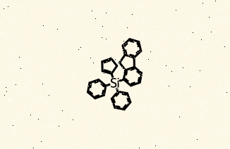 C1=CCC([Si](c2ccccc2)(c2ccccc2)c2cccc3c2Cc2ccccc2-3)=C1